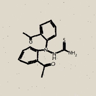 CC(=O)c1ccccc1N(NC(N)=S)c1ccccc1C(C)=O